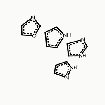 c1c[nH]cn1.c1cc[nH]c1.c1cn[nH]c1.c1cocn1